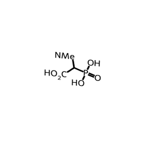 CNC(C(=O)O)P(=O)(O)O